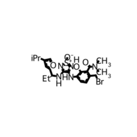 CC[C@@H](Nc1n[s+]([O-])nc1Nc1ccc(CBr)c(C(=O)N(C)C)c1O)c1cc(C(C)C)co1